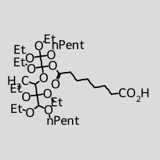 CCCCCOC(OCC)C(OCC)(OCC)C(C)OC(OCC)(OC(=O)CCCCCCC(=O)O)C(OCC)(OCC)OCCCCC